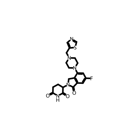 O=C1CCC(N2Cc3c(cc(F)cc3N3CCN(Cc4cncs4)CC3)C2=O)C(=O)N1